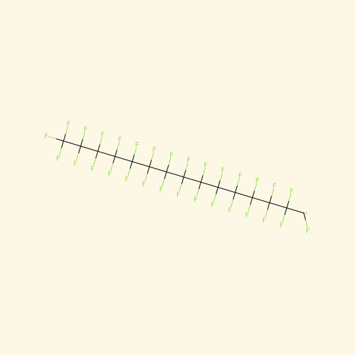 F[CH]C(F)(F)C(F)(F)C(F)(F)C(F)(F)C(F)(F)C(F)(F)C(F)(F)C(F)(F)C(F)(F)C(F)(F)C(F)(F)C(F)(F)C(F)(F)C(F)(F)F